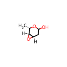 C[C@@H]1OC(O)C[C@H]2O[C@@H]12